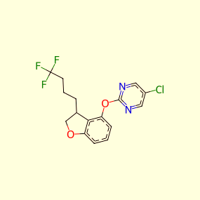 FC(F)(F)CCCC1COc2cccc(Oc3ncc(Cl)cn3)c21